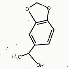 CC(O)c1ccc2c(c1)OCO2